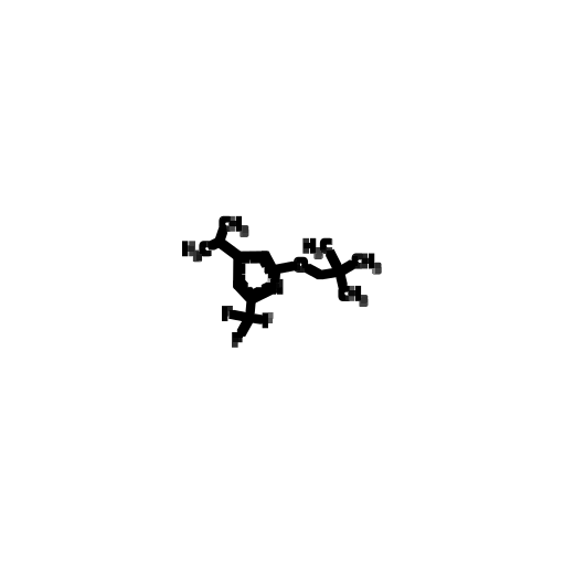 CC(C)c1cc(OCC(C)(C)C)nc(C(F)(F)F)c1